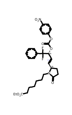 CCOC(=O)CCCCCCN1C(=O)CC[C@@H]1/C=C/[C@@H](OC(=O)Oc1ccc([N+](=O)[O-])cc1)C(F)(F)c1ccccc1